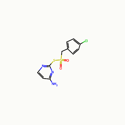 Nc1ccnc(SS(=O)(=O)Cc2ccc(Cl)cc2)n1